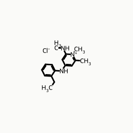 CCc1ccccc1Nc1cc(C)[n+](C)c(NC)c1.[Cl-]